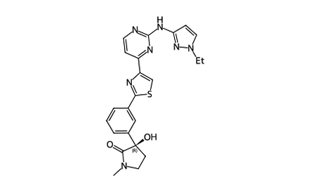 CCn1ccc(Nc2nccc(-c3csc(-c4cccc([C@]5(O)CCN(C)C5=O)c4)n3)n2)n1